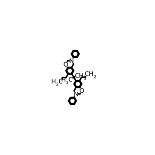 C=CCc1cc2c(cc1C(C)(C)c1cc3c(cc1CC=C)OCN(c1ccccc1)C3)CN(c1ccccc1)CO2